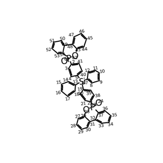 O=P1(c2ccc([Si](c3ccccc3)(c3ccccc3)c3ccc(P4(=O)Oc5ccccc5-c5ccccc54)cc3)cc2)Oc2ccccc2-c2ccccc21